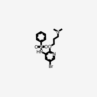 CN(C)CCCOc1ncc(Br)cc1NS(=O)(=O)c1ccccc1